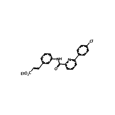 CCOC(=O)/C=C/c1cccc(NC(=O)c2cccc(-c3ccc(Cl)cc3)n2)c1